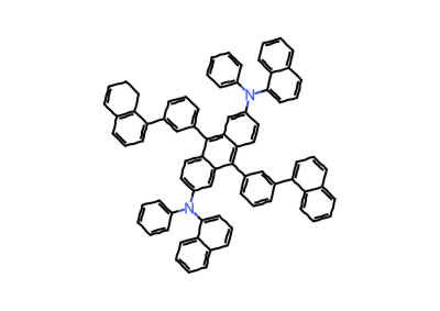 C1=Cc2cccc(-c3cccc(-c4c5ccc(N(c6ccccc6)c6cccc7ccccc67)cc5c(-c5cccc(-c6cccc7ccccc67)c5)c5ccc(N(c6ccccc6)c6cccc7ccccc67)cc45)c3)c2CC1